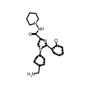 NCc1ccc(-n2cc(C(=O)NN3CCCCC3)nc2-c2ccccc2Cl)cc1